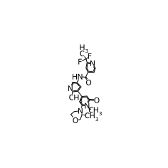 Cc1ncc(NC(=O)c2ccnc(C(C)(F)F)c2)cc1-c1cc(N2CCOC[C@@H]2C)n(C)c(=O)c1